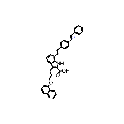 O=C(O)c1[nH]c2c(C=Cc3ccc(/C=C/c4ccccc4)cc3)cccc2c1CCCOc1cccc2ccccc12